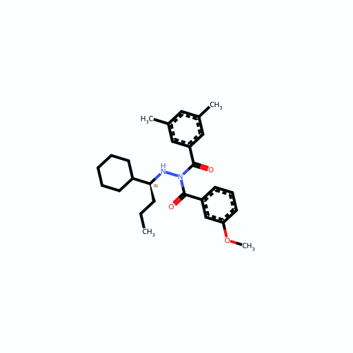 CCC[C@H](NN(C(=O)c1cc(C)cc(C)c1)C(=O)c1cccc(OC)c1)C1CCCCC1